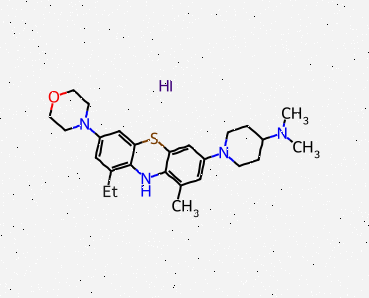 CCc1cc(N2CCOCC2)cc2c1Nc1c(C)cc(N3CCC(N(C)C)CC3)cc1S2.I